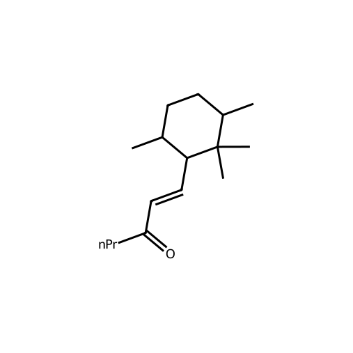 CCCC(=O)C=CC1C(C)CCC(C)C1(C)C